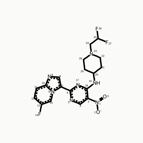 O=[N+]([O-])c1cnc(-c2cnc3ccc(F)cn23)nc1NC1CCN(CC(F)F)CC1